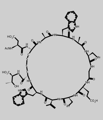 C=C(C)[C@@H]1NC(=O)[C@H](CC(C)C)NC(=O)[C@H](CCC(=O)O)NC(=O)CNC(=O)[C@H](CC(C)C)NC(=O)[C@H](C)NC(=O)[C@H](Cc2c[nH]c3ccccc23)NC(=O)[C@H](C)NC(=O)[C@@H](NC(=O)[C@H](CC(=O)O)NC(C)=O)CSSC[C@@H](C(=O)N[C@H](C(=O)O)[C@@H](C)O)NC(=O)[C@H](Cc2c[nH]c3ccccc23)NC1=O